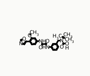 COc1cc(NC(=O)C(=O)Nc2cccc(CN(C(=O)O)C(C)(C)C)c2)ccc1-c1cnco1